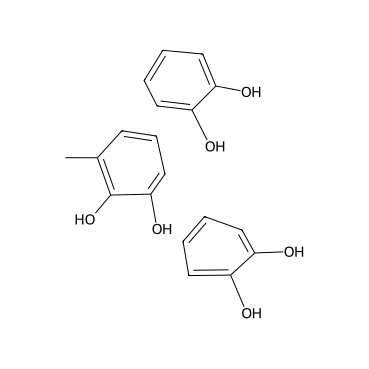 Cc1cccc(O)c1O.Oc1ccccc1O.Oc1ccccc1O